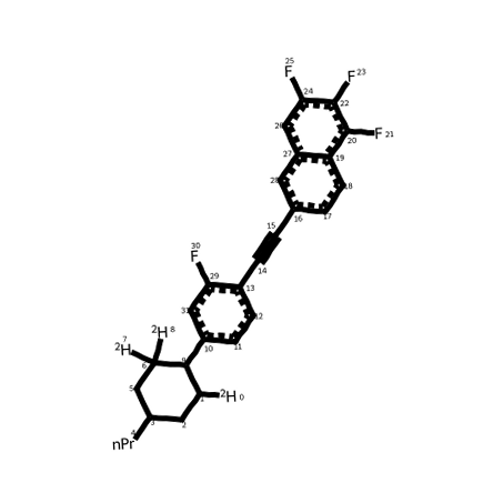 [2H]C1CC(CCC)CC([2H])([2H])C1c1ccc(C#Cc2ccc3c(F)c(F)c(F)cc3c2)c(F)c1